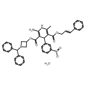 CC1=C(C(=O)OC/C=C/c2ccccc2)C(c2cccc([N+](=O)[O-])c2)C(C(=O)OC2CN(C(c3ccccc3)c3ccccc3)C2)=C(N)N1.O